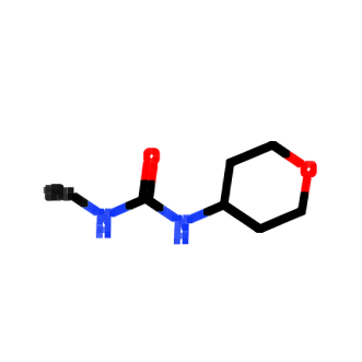 CC(C)(C)NC(=O)NC1CCOCC1